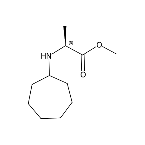 COC(=O)[C@H](C)NC1CCCCCC1